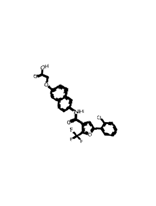 O=C(O)COc1ccc2cc(NC(=O)c3cc(-c4ccccc4Cl)oc3C(F)(F)F)ccc2c1